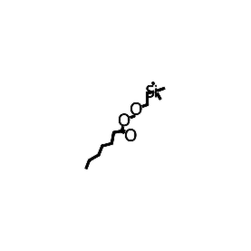 CCCCCCC(=O)OCOCC[Si](C)(C)C